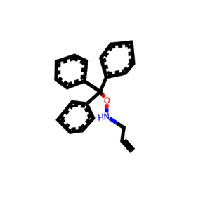 C=CCNOC(c1ccccc1)(c1ccccc1)c1ccccc1